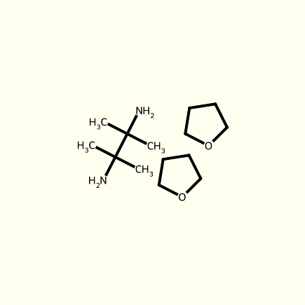 C1CCOC1.C1CCOC1.CC(C)(N)C(C)(C)N